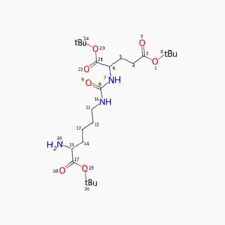 CC(C)(C)OC(=O)CCC(NC(=O)NCCCCC(N)C(=O)OC(C)(C)C)C(=O)OC(C)(C)C